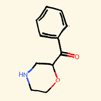 O=C(c1[c]cccc1)C1CNCCO1